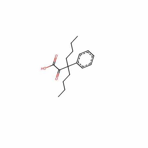 CCCCC(CCCC)(C(=O)C(=O)O)c1ccccc1